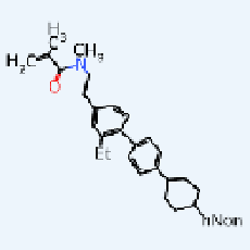 C=C(C)C(=O)N(C)CCc1ccc(-c2ccc(C3CCC(CCCCCCCCC)CC3)cc2)c(CC)c1